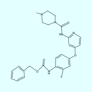 CN1CCN(C(=O)Nc2cc(Oc3ccc(NC(=O)OCc4ccccc4)c(F)c3)ccn2)CC1